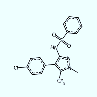 Cn1nc(NS(=O)(=O)c2ccccc2)c(-c2ccc(Cl)cc2)c1C(F)(F)F